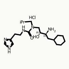 CC(C)CN(C[C@@H](O)[C@@H](N)CC1CCCCC1)C(=O)NCCc1c[nH]cn1.Cl